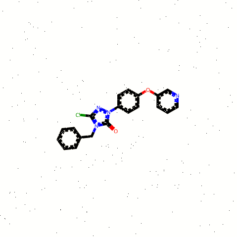 O=c1n(-c2ccc(Oc3cccnc3)cc2)nc(Cl)n1Cc1ccccc1